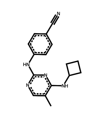 Cc1cnc(Nc2ccc(C#N)cc2)nc1NC1CCC1